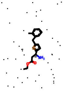 CCOC(=O)C[C@H](N)c1ccc(Cc2ccccc2C)s1